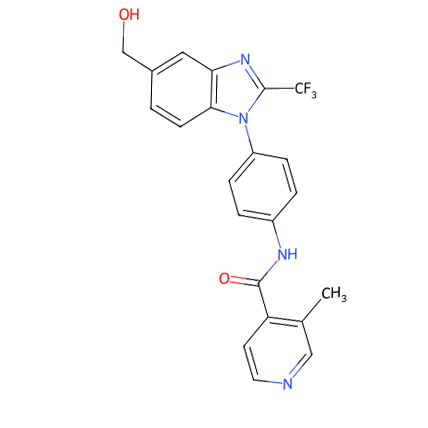 Cc1cnccc1C(=O)Nc1ccc(-n2c(C(F)(F)F)nc3cc(CO)ccc32)cc1